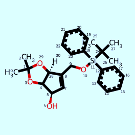 CC1(C)OC2[C@H](O)C=C(CO[Si](c3ccccc3)(c3ccccc3)C(C)(C)C)[C@@H]2O1